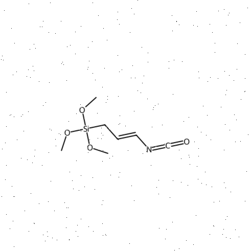 CO[Si](CC=CN=C=O)(OC)OC